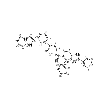 c1ccc(-c2nc3c(ccc4c(-c5ccc(-c6cccc(-c7cn8ccccc8n7)c6)cc5)nc5ccccc5c43)o2)cc1